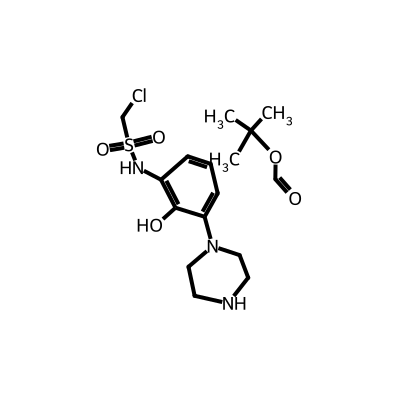 CC(C)(C)OC=O.O=S(=O)(CCl)Nc1cccc(N2CCNCC2)c1O